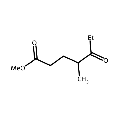 CCC(=O)C(C)CCC(=O)OC